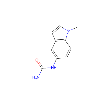 Cn1ccc2cc(NC(N)=O)ccc21